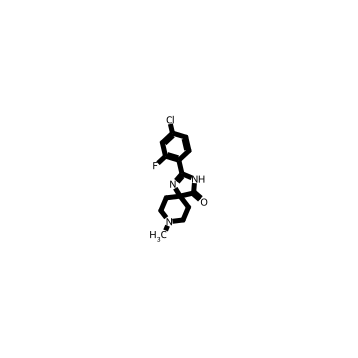 CN1CCC2(CC1)N=C(c1ccc(Cl)cc1F)NC2=O